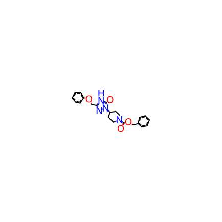 O=C(OCc1ccccc1)N1CCC(n2nc(COc3ccccc3)[nH]c2=O)CC1